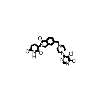 O=C1CCC(N2Cc3cc(CN4CCN(c5ncnc(Cl)c5Cl)CC4)ccc3C2=O)C(=O)N1